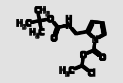 CC(Cl)OC(=O)n1cccc1CNC(=O)OC(C)(C)C